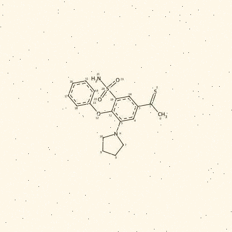 CC(=S)c1cc(N2CCCC2)c(Oc2ccccc2)c(S(N)(=O)=O)c1